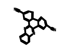 N#Cc1ccc2c3ccc(C#N)cc3c3nc4ccccc4nc3c2c1